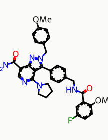 COc1ccc(Cn2nc3c(C(N)=O)cnc(N4CCCC4)c3c2-c2ccc(CNC(=O)c3cc(F)ccc3OC)cc2)cc1